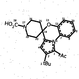 CC(=O)c1c(C(C)(C)C)cc2n1-c1ccccc1OC21CCN(C(=O)O)CC1